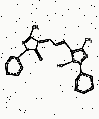 CC1=NN(c2ccccc2)C(=O)/C1=C\C=C\c1c(C)nn(-c2ccccc2)c1O